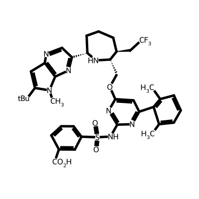 Cc1cccc(C)c1-c1cc(OC[C@@H]2N[C@H](c3cnc4cc(C(C)(C)C)n(C)c4n3)CCC[C@H]2CC(F)(F)F)nc(NS(=O)(=O)c2cccc(C(=O)O)c2)n1